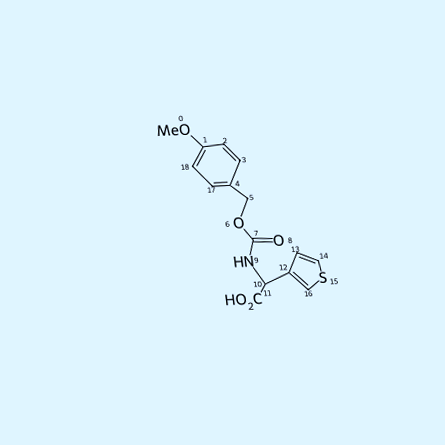 COc1ccc(COC(=O)NC(C(=O)O)c2ccsc2)cc1